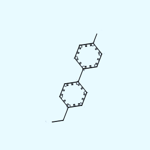 CC(=O)Cc1ccc(-c2ccc(C(F)(F)F)cc2)cc1